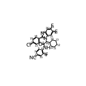 N#Cc1ccc(NC(=O)C(C2CCCCC2)n2c(-c3ccc(Cl)cc3)nc3cc(F)c(F)cc32)c(F)c1